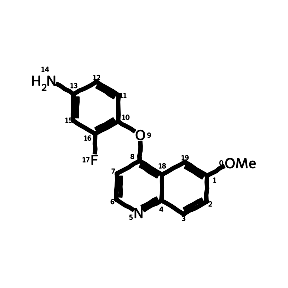 COc1ccc2nccc(Oc3ccc(N)cc3F)c2c1